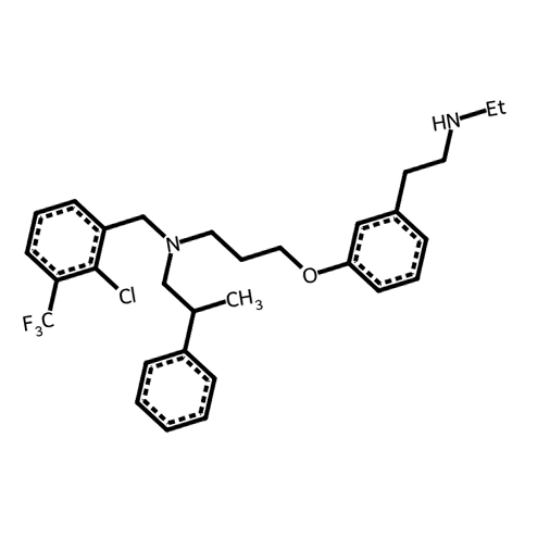 CCNCCc1cccc(OCCCN(Cc2cccc(C(F)(F)F)c2Cl)CC(C)c2ccccc2)c1